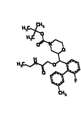 CCNC(=O)COC(c1cccc(F)c1-c1cccc(C)c1)C1CN(C(=O)OC(C)(C)C)CCO1